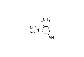 COc1ccc(S)cc1-n1cnnc1